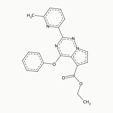 CCOC(=O)c1ccn2nc(-c3cccc(C)n3)nc(Oc3ccccc3)c12